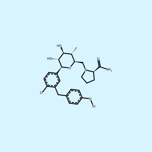 CCOc1ccc(Cc2cc([C@@H]3O[C@H](CN4CCC[C@@H]4C(N)=O)[C@@H](C)[C@H](O)[C@H]3O)ccc2Cl)cc1